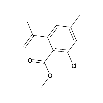 C=C(C)c1cc(C)cc(Cl)c1C(=O)OC